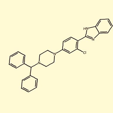 Clc1cc(N2CCN(C(c3ccccc3)c3ccccc3)CC2)ccc1-c1nc2ccccc2[nH]1